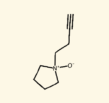 C#CCC[N+]1([O-])CCCC1